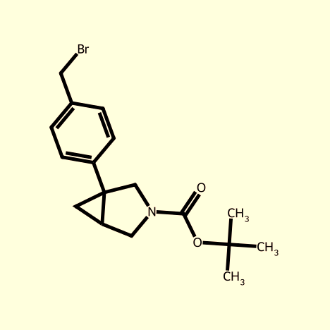 CC(C)(C)OC(=O)N1CC2CC2(c2ccc(CBr)cc2)C1